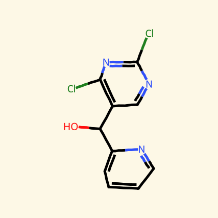 OC(c1ccccn1)c1cnc(Cl)nc1Cl